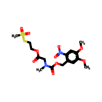 COc1cc(COC(=O)N(C)CC(=O)OCCSS(C)(=O)=O)c([N+](=O)[O-])cc1OC